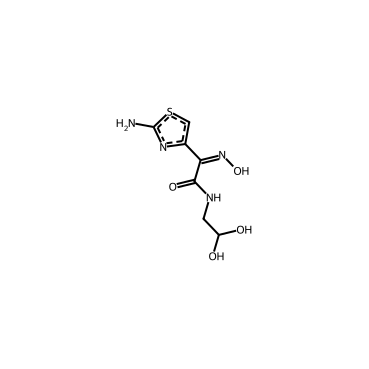 Nc1nc(/C(=N/O)C(=O)NCC(O)O)cs1